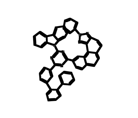 c1ccc(-c2ccccc2-c2cccc(-c3nc(-c4ccc5ccc6ccc7nn(-c8ccccc8)nc7c6c5c4)nc(-n4c5ccccc5c5ccccc54)n3)c2)cc1